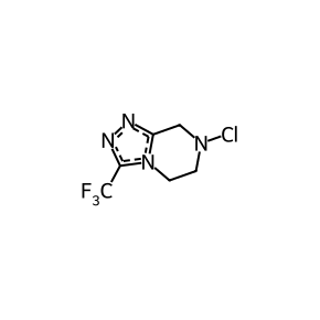 FC(F)(F)c1nnc2n1CCN(Cl)C2